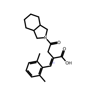 Cc1cccc(C)c1/C=C(\CC(=O)N1CC2CCCCC2C1)C(=O)O